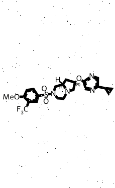 COc1ccc(S(=O)(=O)N2CCN3C[C@H](Oc4cnc(C5CC5)cn4)C[C@H]3C2)cc1C(F)(F)F